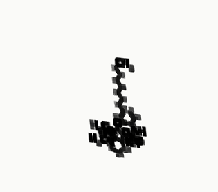 CCCCCCCCc1ccc(NS(=O)(=O)NC2(CC(=O)OC)CCCN(C)C2C)cc1